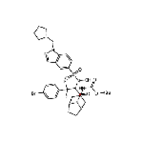 CN(C(C(=O)N1C2CCC1CC(NC(=O)OC(C)(C)C)C2)C(F)(F)c1ccc(Br)cc1)S(=O)(=O)c1ccc2c(cnn2CC2CCCC2)c1